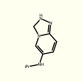 CC(C)NC1=CN2CNN=C2C=C1